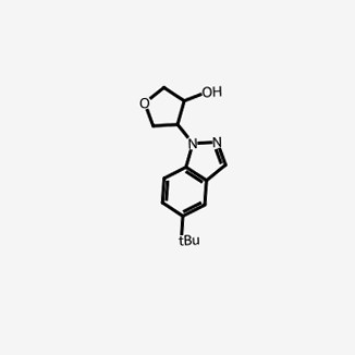 CC(C)(C)c1ccc2c(cnn2C2COCC2O)c1